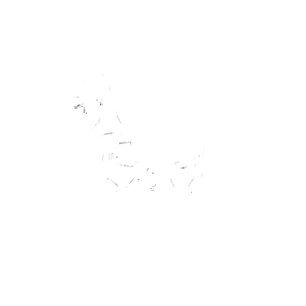 O=C(Nc1ccc(Cl)c(NC(=O)c2cccc(Cl)c2)c1)c1ccc(N2CCCCS2(=O)=O)cc1